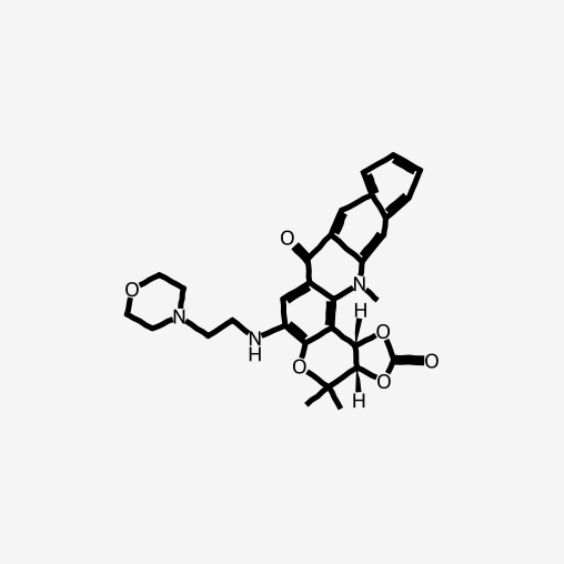 Cn1c2cc3ccccc3cc2c(=O)c2cc(NCCN3CCOCC3)c3c(c21)[C@@H]1OC(=O)O[C@@H]1C(C)(C)O3